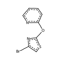 Brc1csc(Oc2ccccn2)n1